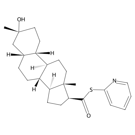 C[C@@]1(O)CC[C@H]2[C@H](CC[C@@H]3[C@@H]2CC[C@]2(C)[C@@H](C(=O)Sc4ccccn4)CC[C@@H]32)C1